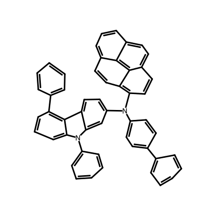 c1ccc(-c2ccc(N(c3ccc4c5c(-c6ccccc6)cccc5n(-c5ccccc5)c4c3)c3ccc4ccc5cccc6ccc3c4c56)cc2)cc1